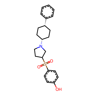 O=S(=O)(c1ccc(O)cc1)C1CCN([C@H]2CC[C@@H](c3ccccc3)CC2)C1